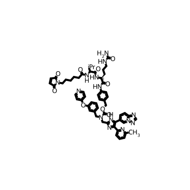 Cc1cccc(-c2nc(CN(Cc3cccc(Oc4ccncc4)c3)C(=O)OCc3ccc(NC(=O)[C@H](CCCNC(N)=O)NC(=O)C(NC(=O)CCCCCN4C(=O)C=CC4=O)C(C)C)cc3)[nH]c2-c2ccc3ncnn3c2)n1